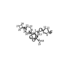 O=C([C@H]1C[C@H](Oc2ccc(F)cc2)CN1C(=O)C1CC1)N1CCCN(C2CCC2)CC1